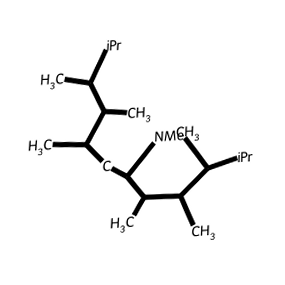 CNC(CC(C)C(C)C(C)C(C)C)C(C)C(C)C(C)C(C)C